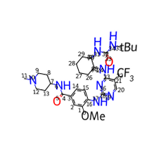 COc1cc(C(=O)NC2CCN(C)CC2)ccc1Nc1ncc(C(F)(F)F)c(N[C@@H]2CCCC[C@H]2NC(=O)NC(C)(C)C)n1